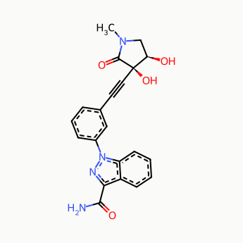 CN1C[C@@H](O)[C@](O)(C#Cc2cccc(-n3nc(C(N)=O)c4ccccc43)c2)C1=O